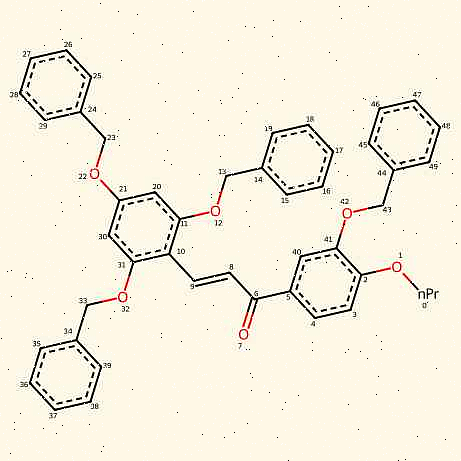 CCCOc1ccc(C(=O)C=Cc2c(OCc3ccccc3)cc(OCc3ccccc3)cc2OCc2ccccc2)cc1OCc1ccccc1